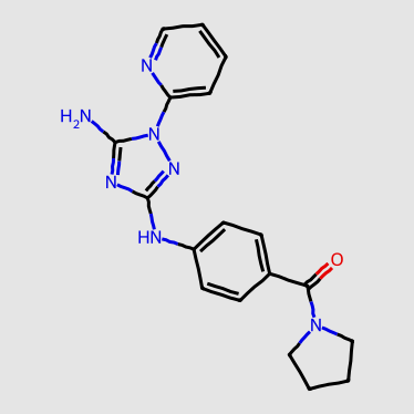 Nc1nc(Nc2ccc(C(=O)N3CCCC3)cc2)nn1-c1ccccn1